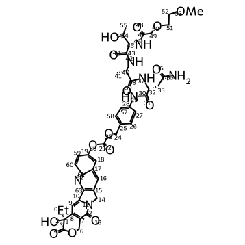 CC[C@@]1(O)C(=O)OCc2c1cc1n(c2=O)Cc2cc3cc(OC(=O)OCc4ccc(NC(=O)[C@@H](CC(N)=O)NC(=O)[C@H](C)NC(=O)[C@@H](NC(=O)COCCOC)C(C)O)cc4)ccc3nc2-1